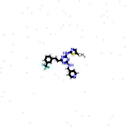 Cc1cnc(Nc2nc(/C=C/c3cccc(C(F)(F)F)c3)nc(NCc3ccncc3)n2)s1